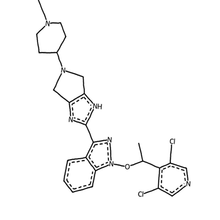 CC(On1nc(-c2nc3c([nH]2)CN(C2CCN(C)CC2)C3)c2ccccc21)c1c(Cl)cncc1Cl